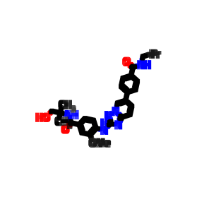 COc1cc(C(=O)NC(C)(C)CO)ccc1Nc1nc2ccc(-c3ccc(C(=O)NCC(C)C)cc3)cn2n1